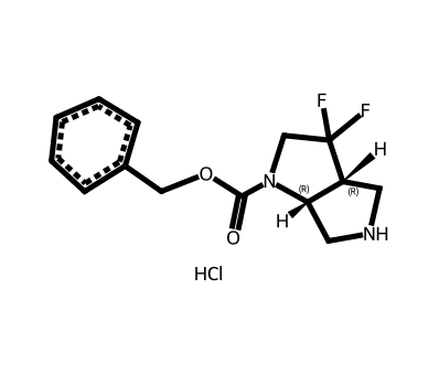 Cl.O=C(OCc1ccccc1)N1CC(F)(F)[C@@H]2CNC[C@@H]21